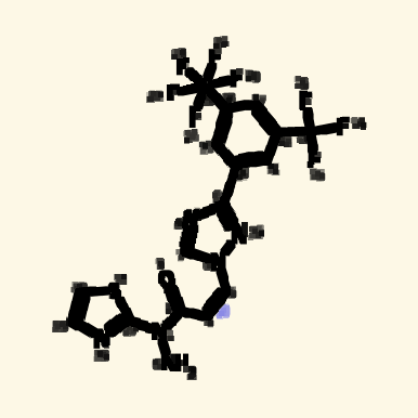 NN(C(=O)/C=C\n1cnc(-c2cc(C(F)(F)F)cc(S(F)(F)(F)(F)F)c2)n1)c1nccs1